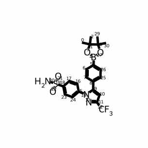 CC1(C)OB(c2ccc(-c3cc(C(F)(F)F)nn3-c3ccc(S(N)(=O)=O)cc3)cc2)OC1(C)C